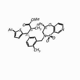 CCC[C@@H]1CN(Cc2cc([C@H](c3ccc(C(C)=O)s3)[C@H](C)C(=O)OC)ccc2C)S(=O)(=O)c2cnccc2O1